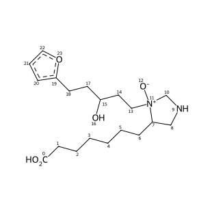 O=C(O)CCCCCCC1CNC[N+]1([O-])CCC(O)CCc1ccco1